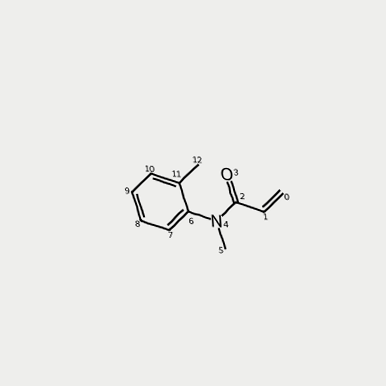 C=CC(=O)N(C)c1ccccc1C